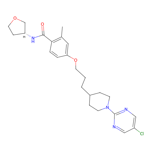 Cc1cc(OCCCC2CCN(c3ncc(Cl)cn3)CC2)ccc1C(=O)N[C@@H]1CCOC1